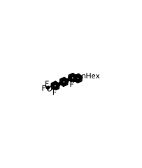 CCCCCCc1ccc2c(F)c(-c3ccc(-c4ccc(OC(F)F)c(F)c4)cc3)ccc2c1